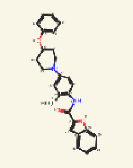 O=C(Nc1ccc(N2CCC(Oc3ccccc3)CC2)cc1C(=O)O)c1cc2ccccc2o1